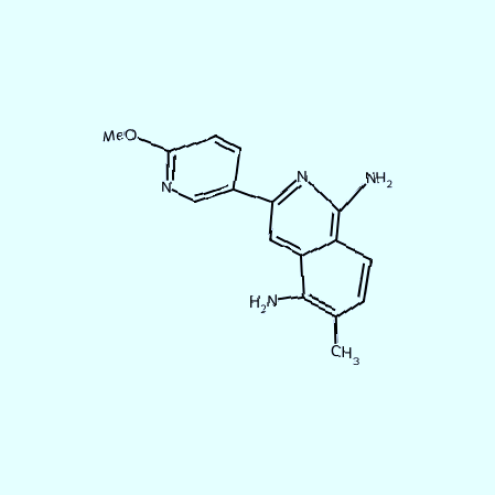 COc1ccc(-c2cc3c(N)c(C)ccc3c(N)n2)cn1